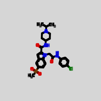 CC(C)N1CCC(NC(=O)c2cc3cc(S(C)(=O)=O)ccc3n2CC(=O)Nc2ccc(Cl)cc2)CC1